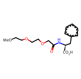 COCCOCCOCC(=O)N[C@@H](Cc1ccccc1)C(=O)O